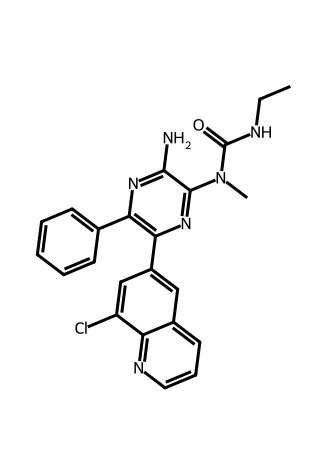 CCNC(=O)N(C)c1nc(-c2cc(Cl)c3ncccc3c2)c(-c2ccccc2)nc1N